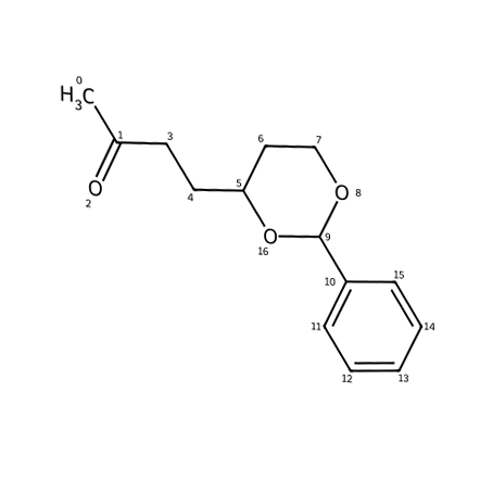 CC(=O)CCC1CCOC(c2ccccc2)O1